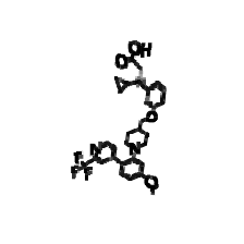 COc1ccc(-c2ccnc(C(F)(F)F)c2)c(N2CCC(COc3cccc([C@@H](CC(=O)O)C4CC4)c3)CC2)c1